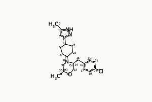 Cc1cc(C2CCC(N3C[C@H](C)OC[C@@H]3Cc3ccc(Cl)cc3)CC2)n[nH]1